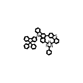 c1ccc(-c2nc(-c3ccccc3)nc(-c3cccc4sc5ccc(-c6ccc7c(c6)c6ccccc6n7-c6ccc7c(c6)-c6ccccc6C7(c6ccccc6)c6ccccc6)cc5c34)n2)cc1